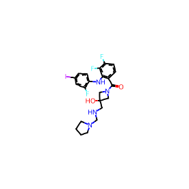 O=C(c1ccc(F)c(F)c1Nc1ccc(I)cc1F)N1CC(O)(CNCN2CCCC2)C1